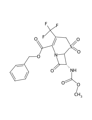 COC(=O)N[C@@H]1C(=O)N2C(C(=O)OCc3ccccc3)=C(C(F)(F)F)CS(=O)(=O)C12